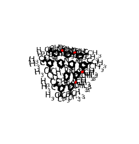 CC(C)(C)c1cc(N(c2cc(C(C)(C)C)cc(C(C)(C)C)c2)c2ccc3c(c2)N(c2cc(C(C)(C)C)cc(C(C)(C)C)c2)c2cc(N(c4cc(C(C)(C)C)cc(C(C)(C)C)c4)c4cc(C(C)(C)C)cc(C(C)(C)C)c4)cc4c2B3c2ccc(N(c3cc(C(C)(C)C)cc(C(C)(C)C)c3)c3cc(C(C)(C)C)cc(C(C)(C)C)c3)cc2N4c2cc(C(C)(C)C)cc(C(C)(C)C)c2)cc(C(C)(C)C)c1